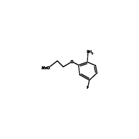 Bc1ccc(F)cc1OCCOC